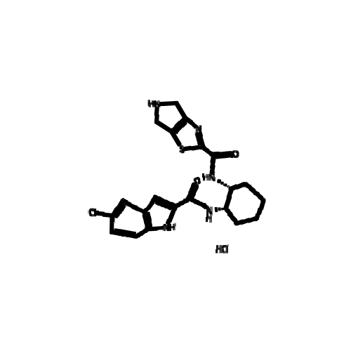 Cl.O=C(N[C@H]1CCCC[C@H]1NC(=O)c1nc2c(s1)CNC2)c1cc2cc(Cl)ccc2[nH]1